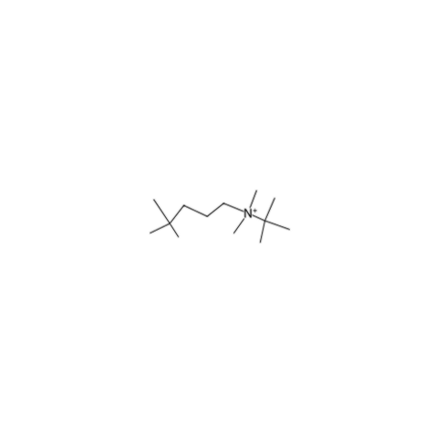 CC(C)(C)CCC[N+](C)(C)C(C)(C)C